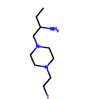 CCC(N)CN1CCN(CCI)CC1